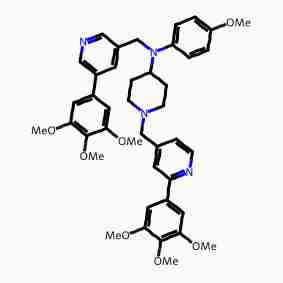 COc1ccc(N(Cc2cncc(-c3cc(OC)c(OC)c(OC)c3)c2)C2CCN(Cc3ccnc(-c4cc(OC)c(OC)c(OC)c4)c3)CC2)cc1